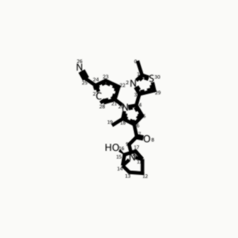 Cc1nc(-c2cc(C(=O)CN3C4CCC3[C@@H](O)C4)c(C)n2-c2ccc(C#N)cc2)cs1